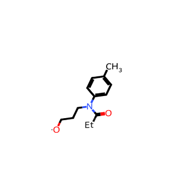 CCC(=O)N(CCC[O])c1ccc(C)cc1